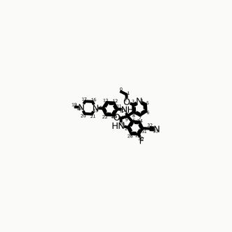 CCOc1ncccc1C1(Nc2ccc(N3CCN(C)CC3)cc2)C(=O)Nc2cc(F)c(C#N)cc21